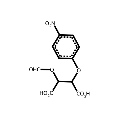 O=COC(C(=O)O)C(Oc1ccc([N+](=O)[O-])cc1)C(=O)O